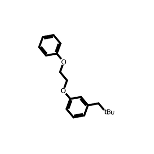 CC(C)(C)Cc1cccc(OCCOc2ccccc2)c1